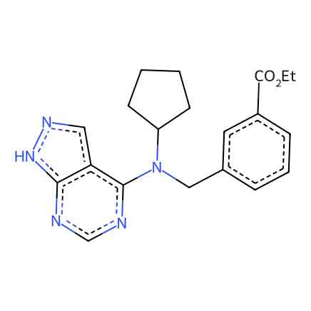 CCOC(=O)c1cccc(CN(c2ncnc3[nH]ncc23)C2CCCC2)c1